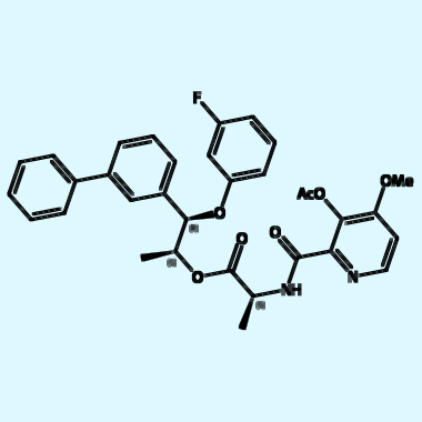 COc1ccnc(C(=O)N[C@@H](C)C(=O)O[C@@H](C)[C@H](Oc2cccc(F)c2)c2cccc(-c3ccccc3)c2)c1OC(C)=O